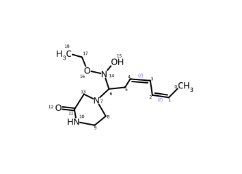 C/C=C\C=C/CC(N1CCNC(=O)C1)N(O)OCC